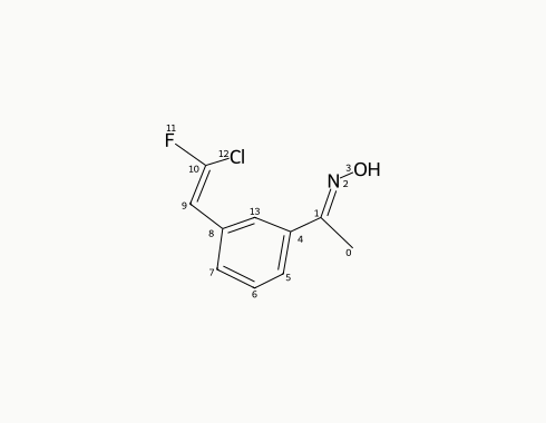 CC(=NO)c1cccc(C=C(F)Cl)c1